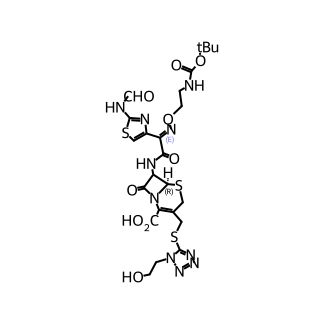 CC(C)(C)OC(=O)NCCO/N=C(/C(=O)NC1C(=O)N2C(C(=O)O)=C(CSc3nnnn3CCO)CS[C@H]12)c1csc(NC=O)n1